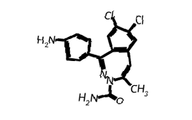 CC1=Cc2cc(Cl)c(Cl)cc2C(c2ccc(N)cc2)=NN1C(N)=O